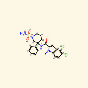 Cn1c(C(=O)NC2(c3ccccc3)CCCN(S(N)(=O)=O)C2)cc2c(Cl)c(Cl)ccc21